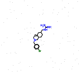 CCC(C)CN(Cc1ccc(Br)cc1)CC1CCC(CNC(=N)N)CC1